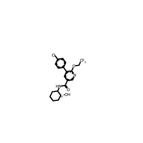 O=C(NC1CCCC[C@H]1O)c1cnc(OCC(F)(F)F)c(-c2ccc(Cl)cc2)c1